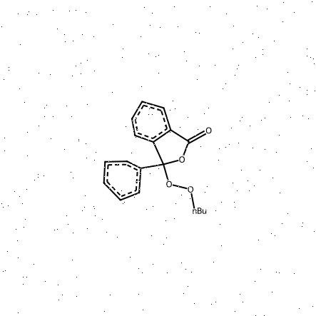 CCCCOOC1(c2ccccc2)OC(=O)c2ccccc21